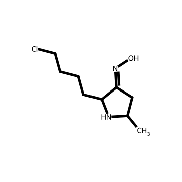 CC1CC(=NO)C(CCCCCl)N1